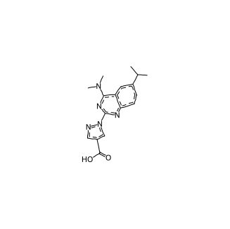 CC(C)c1ccc2nc(-n3cc(C(=O)O)cn3)nc(N(C)C)c2c1